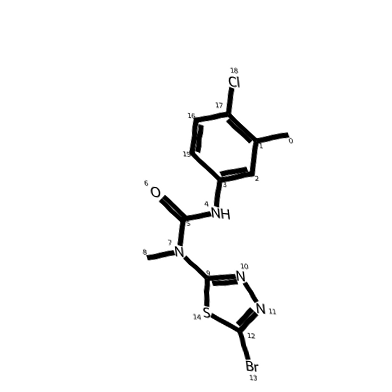 Cc1cc(NC(=O)N(C)c2nnc(Br)s2)ccc1Cl